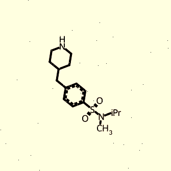 CC(C)N(C)S(=O)(=O)c1ccc(CC2CCNCC2)cc1